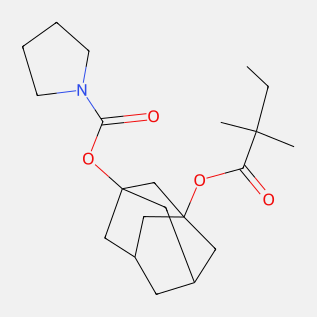 CCC(C)(C)C(=O)OC12CC3CC(CC(OC(=O)N4CCCC4)(C3)C1)C2